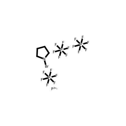 BrN1CCCC1.F[P-](F)(F)(F)(F)F.F[P-](F)(F)(F)(F)F.F[P-](F)(F)(F)(F)F.[P+3]